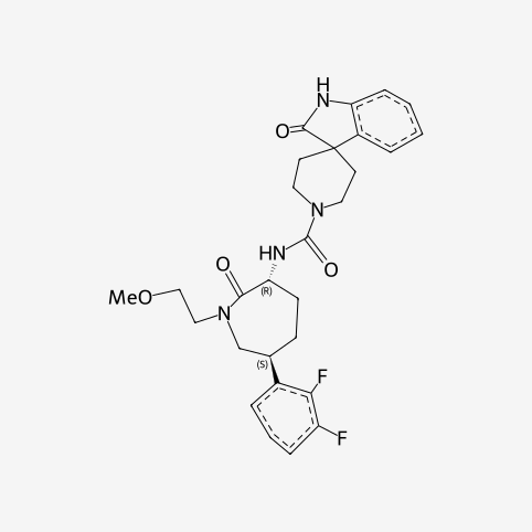 COCCN1C[C@H](c2cccc(F)c2F)CC[C@@H](NC(=O)N2CCC3(CC2)C(=O)Nc2ccccc23)C1=O